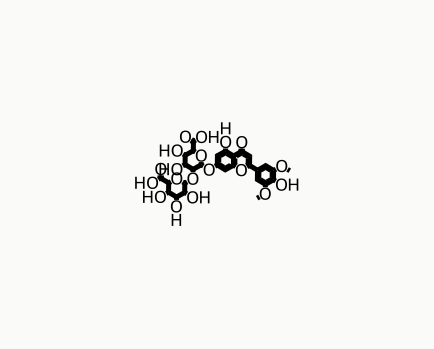 COc1cc(-c2cc(=O)c3c(O)cc(OC4OC(C(=O)O)C(O)C(O)C4OC4OC(C(=O)O)C(O)C(O)C4O)cc3o2)cc(OC)c1O